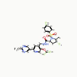 C[C@H]1[C@H](F)C[C@@H](C(=O)NCc2cc(-c3cnc(C(F)(F)F)nc3)ncc2OC(F)F)N1S(=O)(=O)c1ccc(F)cc1